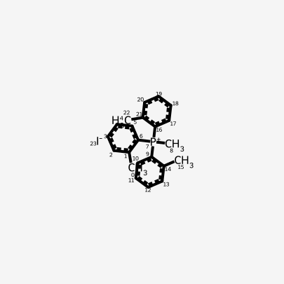 Cc1ccccc1[P+](C)(c1ccccc1C)c1ccccc1C.[I-]